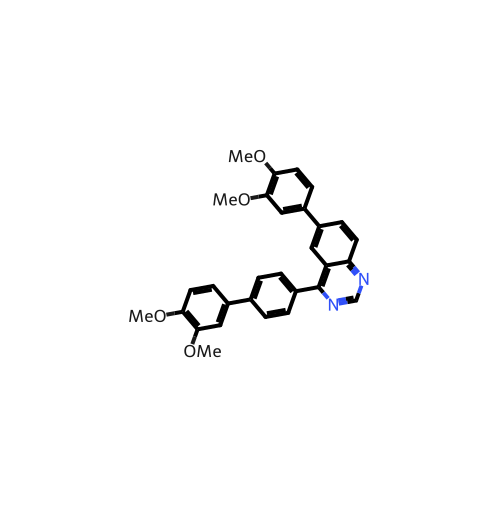 COc1ccc(-c2ccc(-c3ncnc4ccc(-c5ccc(OC)c(OC)c5)cc34)cc2)cc1OC